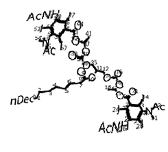 CCCCCCCCCCCCCCCCCC(=O)OC(COC(=O)OC(C)OC(=O)c1c(I)c(NC(C)=O)c(I)c(N(C)C(C)=O)c1I)COC(=O)OC(C)OC(=O)c1c(I)c(NC(C)=O)c(I)c(N(C)C(C)=O)c1I